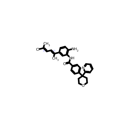 C/C(Cl)=C\C=C(/C)c1ccc(N)c(NC(=O)c2ccc(C3(c4ccccn4)CCOCC3)cc2)c1